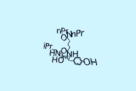 CCCN(CCC)C(=O)CCCC(=O)N[C@@H](Cc1ccc(O)cc1)[C@H](O)CNCCC(C)C